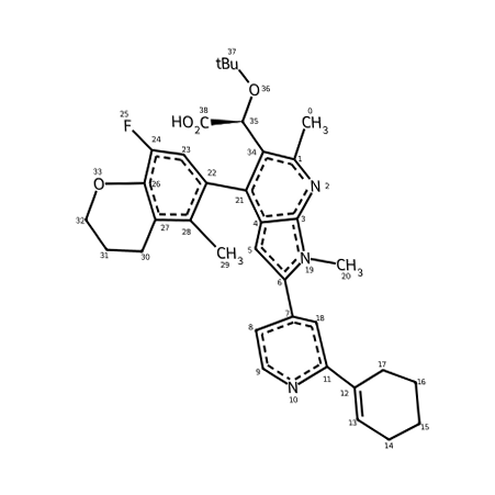 Cc1nc2c(cc(-c3ccnc(C4=CCCCC4)c3)n2C)c(-c2cc(F)c3c(c2C)CCCO3)c1[C@H](OC(C)(C)C)C(=O)O